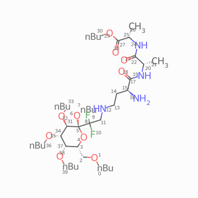 CCCCOC[C@H]1O[C@@](OCCCC)(C(F)(F)CNCC[C@H](N)C(=O)N[C@@H](C)C(=O)N[C@@H](C)C(=O)OCCCC)[C@H](OCCCC)[C@@H](OCCCC)[C@H]1OCCCC